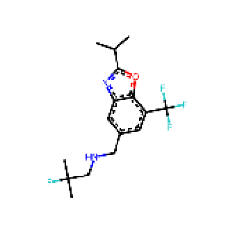 CC(C)c1nc2cc(CNCC(C)(C)F)cc(C(F)(F)F)c2o1